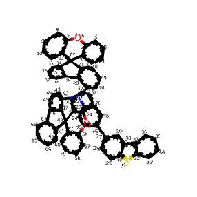 c1ccc2c(c1)Oc1ccccc1C21c2ccccc2-c2c(N(c3ccc(-c4ccc5sc6ccccc6c5c4)cc3)c3cccc4c3C3(c5ccccc5Oc5ccccc53)c3ccccc3-4)cccc21